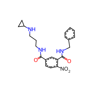 O=C(NCCCNC1CC1)c1ccc([N+](=O)[O-])c(C(=O)NCc2ccccc2)c1